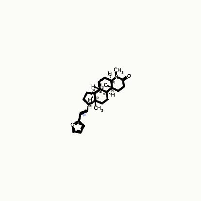 CN1C(=O)CC[C@]2(C)[C@H]3CC[C@]4(C)[C@@H](/C=C/c5ccco5)CC[C@H]4[C@@H]3CC[C@@H]12